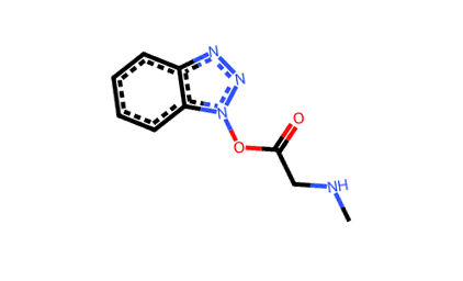 CNCC(=O)On1nnc2ccccc21